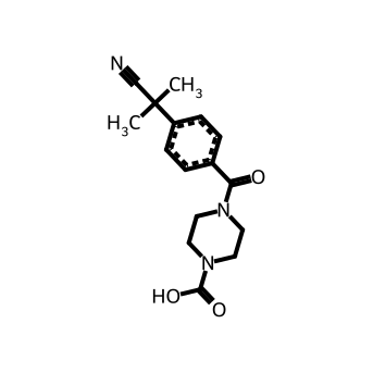 CC(C)(C#N)c1ccc(C(=O)N2CCN(C(=O)O)CC2)cc1